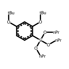 CCCO[Si](OCCC)(OCCC)c1ccc(OC(C)(C)C)cc1OC(C)(C)C